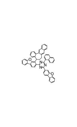 c1ccc2c(c1)-c1cc3ccccc3cc1CCC2c1c(-c2nc(-c3ccc4c(c3)oc3ccccc34)nc(-c3cccc4ccccc34)n2)ccc2c1oc1ccccc12